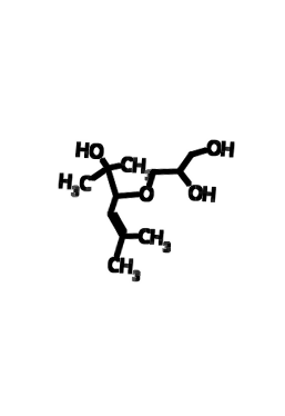 CC(C)=CC(OCC(O)CO)C(C)(C)O